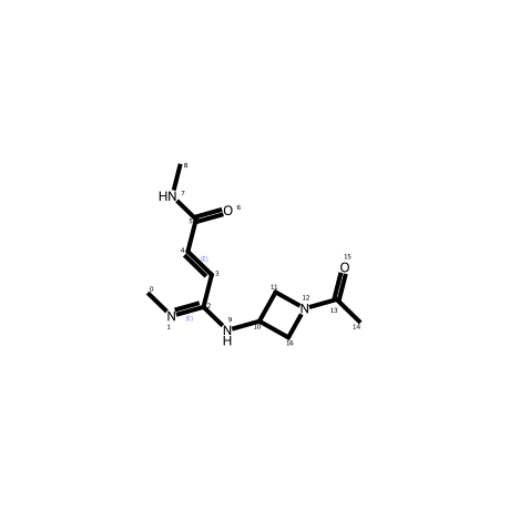 C/N=C(\C=C\C(=O)NC)NC1CN(C(C)=O)C1